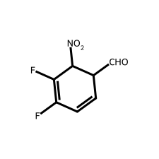 O=CC1C=CC(F)=C(F)C1[N+](=O)[O-]